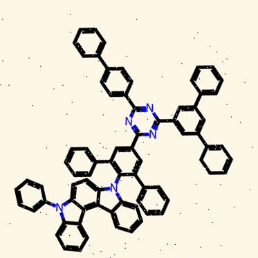 C1=CCCC(c2cc(-c3ccccc3)cc(-c3nc(-c4ccc(-c5ccccc5)cc4)nc(-c4cc(-c5ccccc5)c(-n5c6ccccc6c6c7c8ccccc8n(-c8ccccc8)c7ccc65)c(-c5ccccc5)c4)n3)c2)=C1